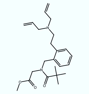 C=CCN(CC=C)CCc1ccccc1CN(CC(=O)OC)C(=O)C(C)(C)C